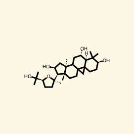 CC(C)(O)[C@@H]1CC[C@](C)([C@H]2[C@@H](O)C[C@@]3(C)C4C[C@H](O)[C@H]5C(C)(C)[C@@H](O)CCC56CC46CC[C@]23C)O1